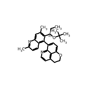 CC[C@@H](OC(C)(C)C)c1c(C)cc2nc(C)ccc2c1-c1ccc2c3c(ccnc13)CCO2